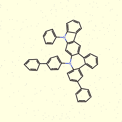 c1ccc(-c2ccc(N3c4ccc(-c5ccccc5)cc4-c4ccccc4-c4cc5c6ccccc6n(-c6ccccc6)c5cc43)cc2)cc1